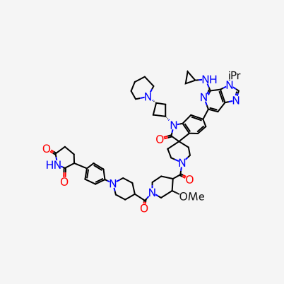 COC1CN(C(=O)C2CCN(c3ccc(C4CCC(=O)NC4=O)cc3)CC2)CCC1C(=O)N1CCC2(CC1)C(=O)N([C@H]1C[C@@H](N3CCCCC3)C1)c1cc(-c3cc4ncn(C(C)C)c4c(NC4CC4)n3)ccc12